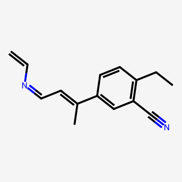 C=C/N=C\C=C(/C)c1ccc(CC)c(C#N)c1